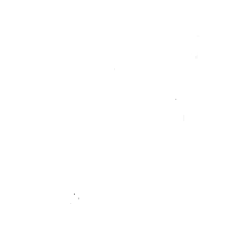 CC(C)(C)[Si](C)(C)OC1C2=C(C(F)(F)F)C(Oc3cc(Cl)cc(C(N)=O)c3)=C=C=C2C1(F)F